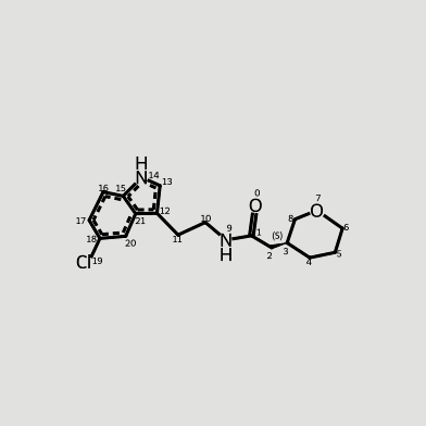 O=C(C[C@@H]1CCCOC1)NCCc1c[nH]c2ccc(Cl)cc12